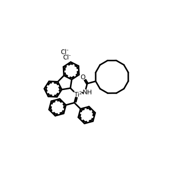 O=C([NH][Ti+2](=[C](c1ccccc1)c1ccccc1)[CH]1c2ccccc2-c2ccccc21)C1CCCCCCCCCCC1.[Cl-].[Cl-]